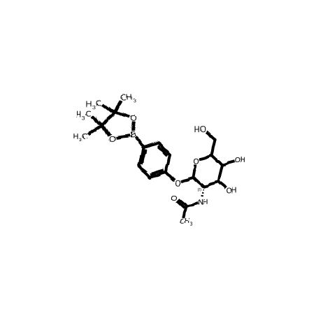 CC(=O)N[C@@H]1C(Oc2ccc(B3OC(C)(C)C(C)(C)O3)cc2)OC(CO)C(O)C1O